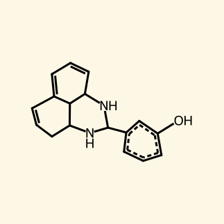 Oc1cccc(C2NC3C=CC=C4C=CCC(N2)C43)c1